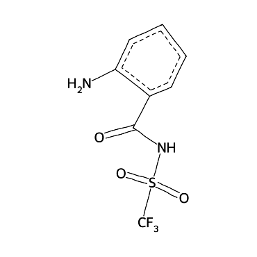 Nc1ccccc1C(=O)NS(=O)(=O)C(F)(F)F